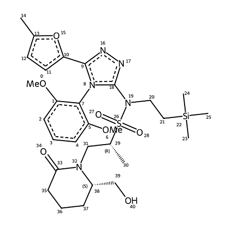 COc1cccc(OC)c1-n1c(-c2ccc(C)o2)nnc1N(CC[Si](C)(C)C)S(=O)(=O)[C@H](C)CN1C(=O)CCC[C@H]1CO